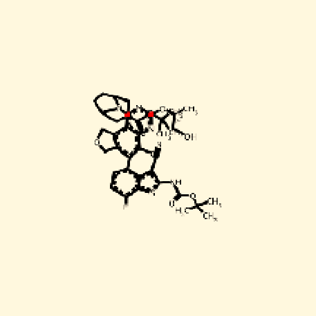 C[C@@H](CO)Oc1nc(N2C3CCC2CN(C(=O)OC(C)(C)C)C3)c2c3c(c(-c4ccc(F)c5sc(NC(=O)OC(C)(C)C)c(C#N)c45)c(Cl)c2n1)COC3